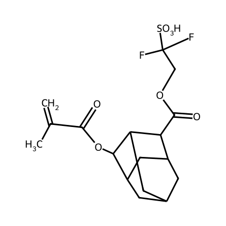 C=C(C)C(=O)OC1C2CC3CC(C2)C(C(=O)OCC(F)(F)S(=O)(=O)O)C1C3